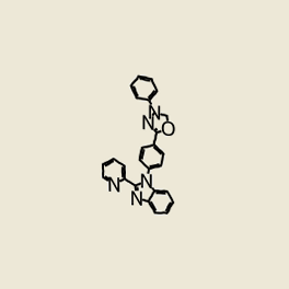 c1ccc(N2COC(c3ccc(-n4c(-c5ccccn5)nc5ccccc54)cc3)=N2)cc1